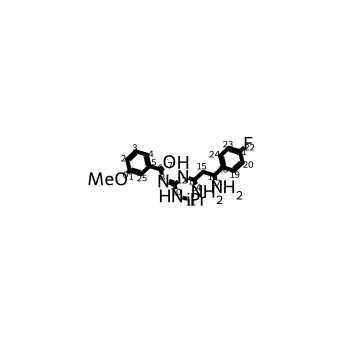 COc1cccc(C(=O)/N=C(/NC(C)C)NC(N)CC(N)c2ccc(F)cc2)c1